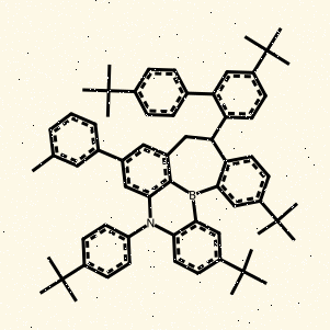 Cc1cccc(-c2cc3c4c(c2)N(c2ccc(C(C)(C)C)cc2)c2ccc(C(C)(C)C)cc2B4c2cc(C(C)(C)C)ccc2C(c2ccc(C(C)(C)C)cc2-c2ccc(C(C)(C)C)cc2)C3)c1